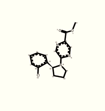 COC(=O)c1cnc(N2CCC[C@H]2c2ccccc2Cl)cn1